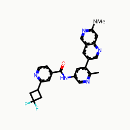 CNc1cc2ncc(-c3cc(NC(=O)c4ccnc(C5CC(F)(F)C5)c4)cnc3C)cc2cn1